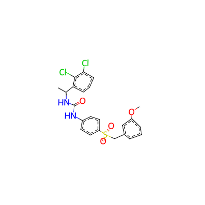 COc1cccc(CS(=O)(=O)c2ccc(NC(=O)NC(C)c3cccc(Cl)c3Cl)cc2)c1